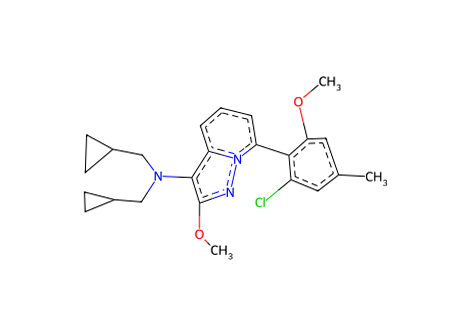 COc1cc(C)cc(Cl)c1-c1cccc2c(N(CC3CC3)CC3CC3)c(OC)nn12